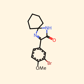 COc1ccc(C2=NC3(CCCCC3)NC2=O)cc1Br